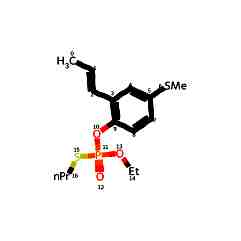 CC=Cc1cc(SC)ccc1OP(=O)(OCC)SCCC